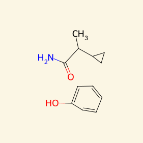 CC(C(N)=O)C1CC1.Oc1ccccc1